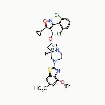 CC(C)Oc1cc(C(=O)O)cc2sc(N3CCN4C[C@@H](OCc5c(-c6c(Cl)cccc6Cl)noc5C5CC5)C[C@H]4C3)nc12